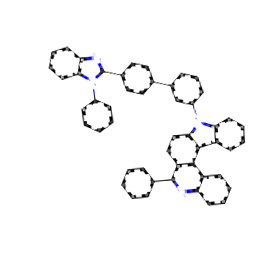 c1ccc(-c2nc3ccccc3c3c2ccc2c3c3ccccc3n2-c2cccc(-c3ccc(-c4nc5ccccc5n4-c4ccccc4)cc3)c2)cc1